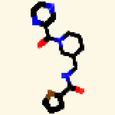 O=C(NCC1CCCN(C(=O)c2cnccn2)C1)c1cccs1